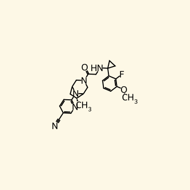 COc1cccc(C2(NCC(=O)N3CC4C[C@H](C)C(C3)N4c3ccc(C#N)cn3)CC2)c1F